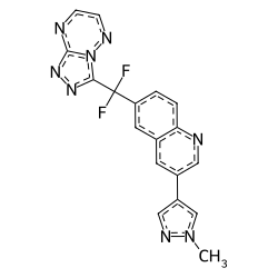 Cn1cc(-c2cnc3ccc(C(F)(F)c4nnc5nccnn45)cc3c2)cn1